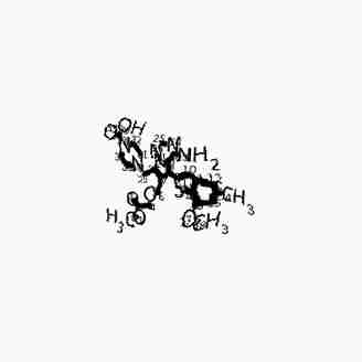 COC(=O)COCc1c(-c2cc3cc(C)cc(OC)c3s2)c2c(N)ncnn2c1CN1CCN(C(=O)O)CC1